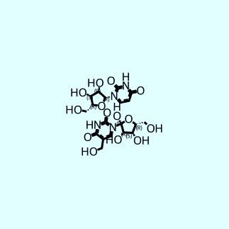 O=c1[nH]c(=O)n([C@]2(O)O[C@H](CO)[C@@H](O)[C@H]2O)cc1CO.O=c1ccn([C@@H]2O[C@H](CO)[C@@H](O)[C@H]2O)c(=O)[nH]1